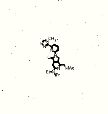 CCN(c1cc2c(c(CNC)n1)CN(c1cccc(-c3nncn3C)n1)C2=O)C(C)C